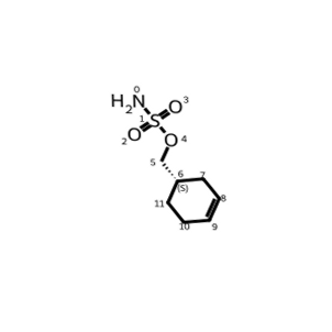 NS(=O)(=O)OC[C@@H]1CC=CCC1